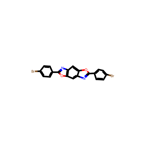 Brc1ccc(-c2nc3cc4oc(-c5ccc(Br)cc5)nc4cc3o2)cc1